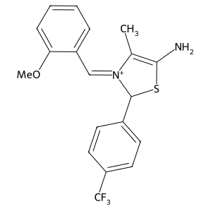 COc1ccccc1C=[N+]1C(C)=C(N)SC1c1ccc(C(F)(F)F)cc1